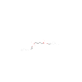 CCCCCCCCCCCCOC(=O)CCCCC(=O)OCCCCCCCCCCCC